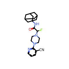 N#Cc1cccnc1N1CCN(C(F)C(=O)NC23CC4CC(CC(C4)C2)C3)CC1